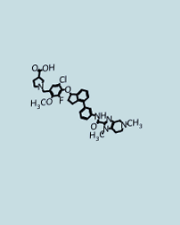 COc1c(CN2CCC(C(=O)O)C2)cc(Cl)c(OC2CCc3c(-c4cccc(NC(=O)c5nc6c(n5C)CCN(C)C6)c4)cccc32)c1F